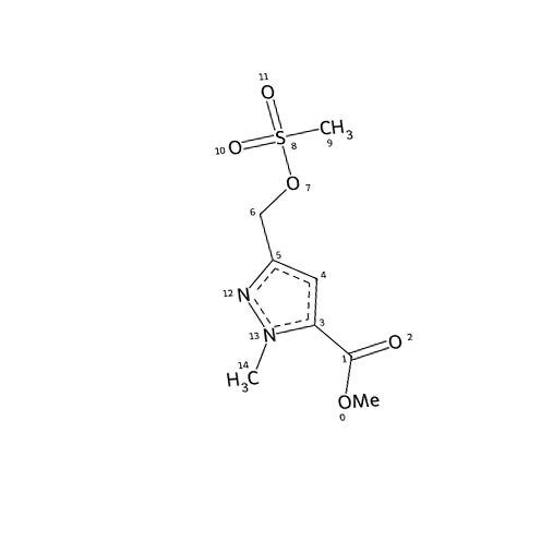 COC(=O)c1cc(COS(C)(=O)=O)nn1C